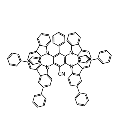 N#Cc1c(-n2c3ccc(-c4ccccc4)cc3c3cc(-c4ccccc4)ccc32)c(-n2c3ccccc3c3ccccc32)c(-c2ccccc2)c(-n2c3ccccc3c3ccccc32)c1-n1c2ccc(-c3ccccc3)cc2c2cc(-c3ccccc3)ccc21